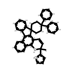 CC1(c2ccco2)C=Cc2c3c(c4ccccc4c2O1)-c1ccccc1C31CCC(c2ccccc2)(c2ccccc2)CC1